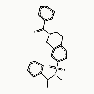 CC(c1ccccc1)N(C)S(=O)(=O)c1ccc2c(c1)CN(C(=O)c1ccccc1)CC2